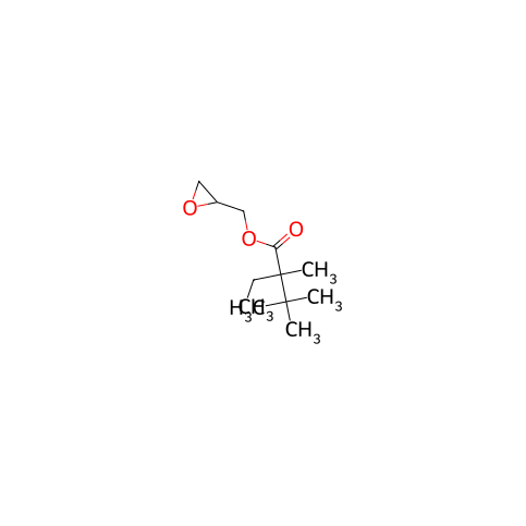 CCC(C)(C(=O)OCC1CO1)C(C)(C)C